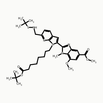 COC(=O)c1cc(OC)c2c(c1)nc(-c1cc3ccc(CNSC(C)(C)C)nc3n1CCCCCCCC(=O)OC(C)(C)C)n2C